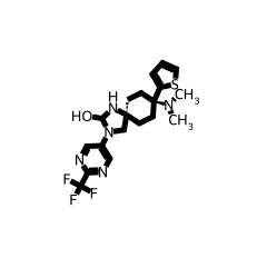 CN(C)[C@]1(c2cccs2)CC[C@]2(CC1)CN(c1cnc(C(F)(F)F)nc1)C(O)N2